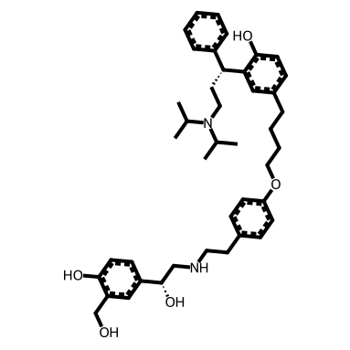 CC(C)N(CC[C@H](c1ccccc1)c1cc(CCCCOc2ccc(CCNC[C@H](O)c3ccc(O)c(CO)c3)cc2)ccc1O)C(C)C